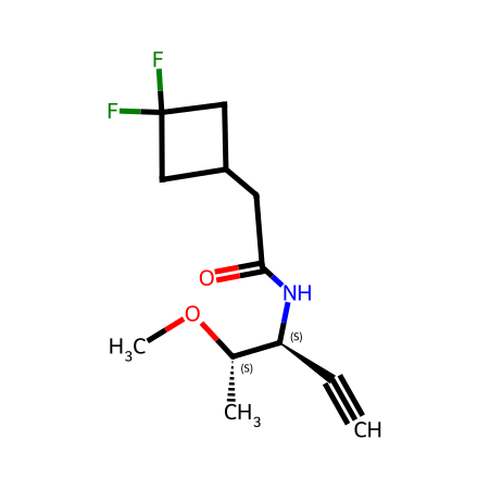 C#C[C@H](NC(=O)CC1CC(F)(F)C1)[C@H](C)OC